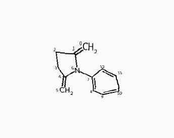 C=C1CCC(=C)N1c1ccccc1